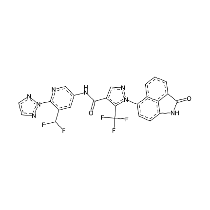 O=C(Nc1cnc(-n2nccn2)c(C(F)F)c1)c1cnn(-c2ccc3c4c(cccc24)C(=O)N3)c1C(F)(F)F